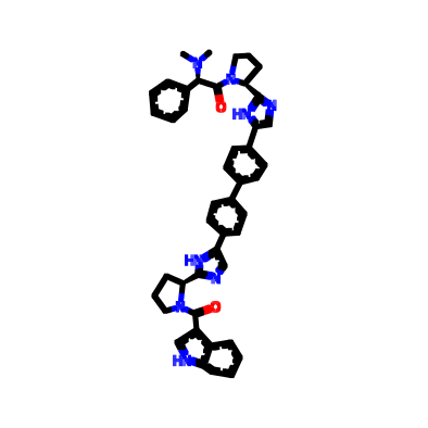 CN(C)[C@@H](C(=O)N1CCC[C@H]1c1ncc(-c2ccc(-c3ccc(-c4cnc([C@@H]5CCCN5C(=O)c5c[nH]c6ccccc56)[nH]4)cc3)cc2)[nH]1)c1ccccc1